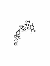 O=C(O)C[C@H](NC(=O)CN1CCN(S(=O)(=O)c2ccc(Cl)cc2)CC1)C(=O)COc1c(F)c(F)cc(F)c1F